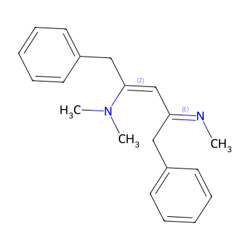 C/N=C(/C=C(/Cc1ccccc1)N(C)C)Cc1ccccc1